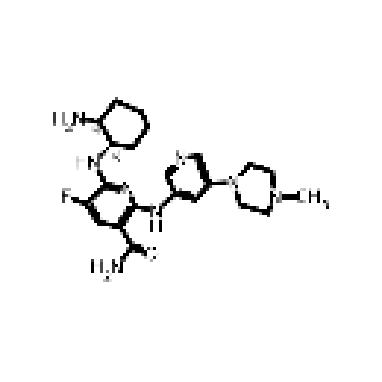 CN1CCN(c2cncc(Nc3nc(N[C@@H]4CCCC[C@@H]4N)c(F)cc3C(N)=O)c2)CC1